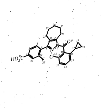 O=C(O)c1ccc(-c2nn(C(=O)c3c(Cl)cccc3C3CC3)c3c2CCCCC3)c(F)c1